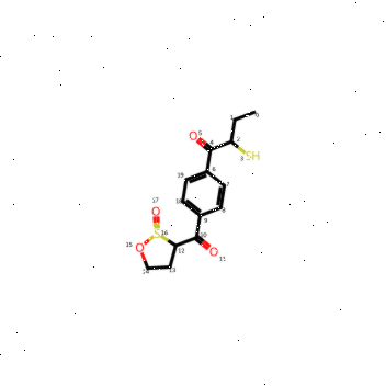 CCC(S)C(=O)c1ccc(C(=O)C2CCOS2=O)cc1